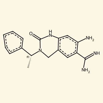 C[C@H](c1ccccc1)N1Cc2cc(C(=N)N)c(N)cc2NC1=O